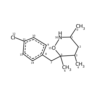 CC1CC(C)C(C)(Cc2ccc(Cl)cc2)ON1